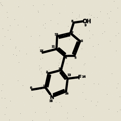 Cc1cc(-c2ccc(CO)cc2C)c(F)cn1